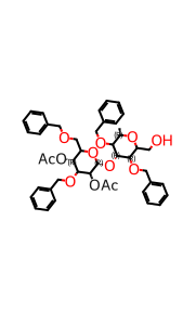 CC(=O)OC1C(OCc2ccccc2)[C@H](OC(C)=O)C(COCc2ccccc2)O[C@@H]1O[C@@H]1C(OCc2ccccc2)[C@@H](C)OC(CO)[C@H]1OCc1ccccc1